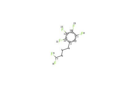 Fc1[c]c(CCCC(F)F)c(F)c(F)c1F